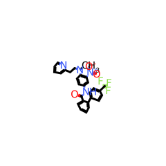 CN(CCc1ccccn1)c1ccc(NC(=O)c2ccccc2-c2ccc(C(F)(F)F)cc2)cc1[N+](=O)[O-]